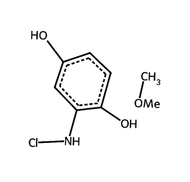 COC.Oc1ccc(O)c(NCl)c1